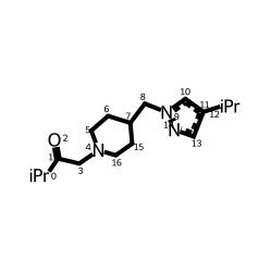 CC(C)C(=O)CN1CCC(Cn2cc(C(C)C)cn2)CC1